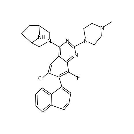 CN1CCN(c2nc(N3CC4CCC(C3)N4)c3cc(Cl)c(-c4cccc5ccccc45)c(F)c3n2)CC1